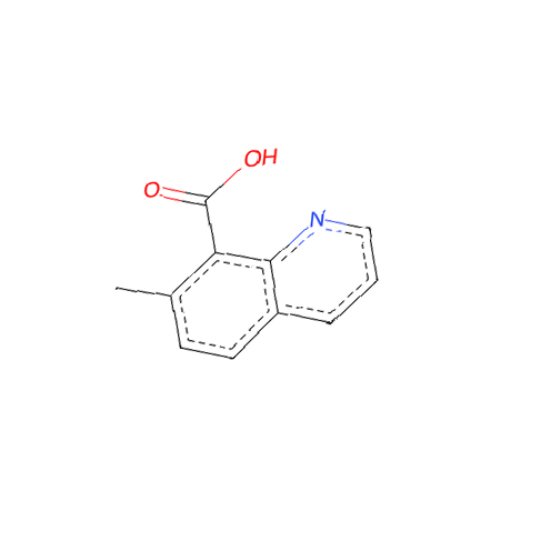 Cc1ccc2cccnc2c1C(=O)O